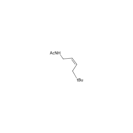 CC(=O)NC/C=C\CC(C)(C)C